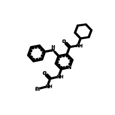 CCNC(=O)Nc1cc(Nc2ccccc2)c(C(=O)NC2CCCCC2)cn1